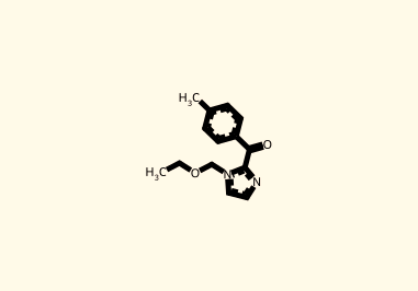 CCOCn1ccnc1C(=O)c1ccc(C)cc1